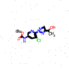 CC(O)c1cnn(-c2ncc(NC(=O)OC(C)(C)C)cc2Cl)n1